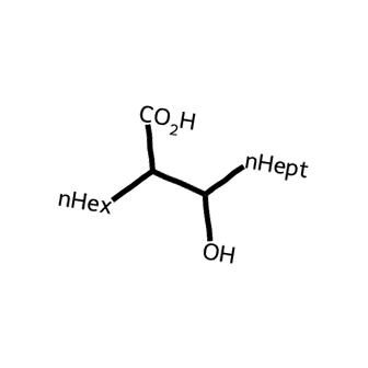 CCCCCCCC(O)C(CCCCCC)C(=O)O